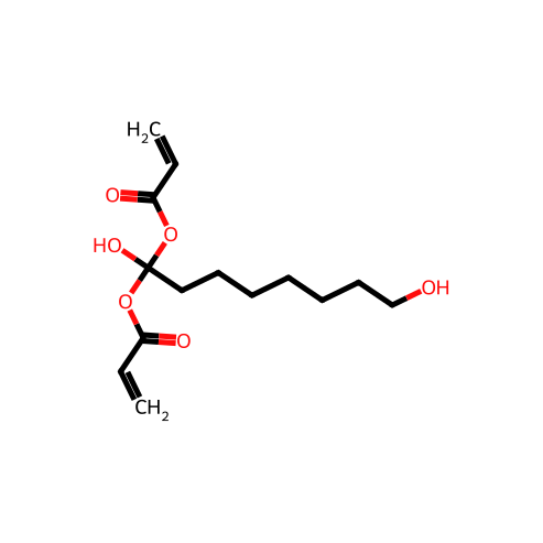 C=CC(=O)OC(O)(CCCCCCCO)OC(=O)C=C